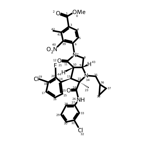 COC(=O)c1ccc(N2C[C@H]3[C@@H](C2=O)[C@H](c2cccc(Cl)c2F)[C@](C)(C(=O)Nc2cccc(Cl)c2)N3CC2CC2)c([N+](=O)[O-])c1C